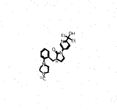 CCC(O)(CC)c1ccc(N2CC[C@@H](Cc3ccccc3N3CCN([11CH3])CC3)C2=O)cn1